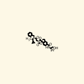 CC(C)[C@H](CO)NC(=O)c1ccc2c(c1)CC[C@@]21OC(=O)N(CC(=O)N(Cc2ccccc2)[C@@H](C)C2CC2)C1=O